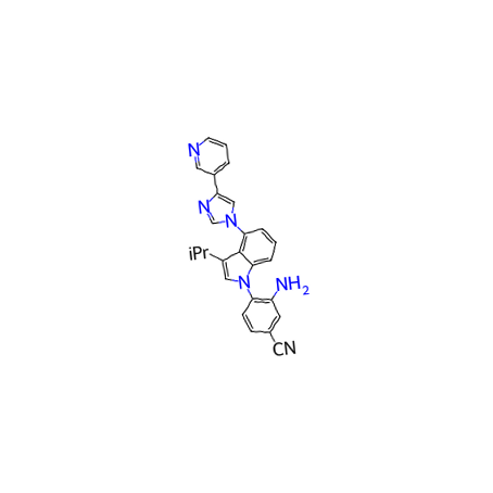 CC(C)c1cn(-c2ccc(C#N)cc2N)c2cccc(-n3cnc(-c4cccnc4)c3)c12